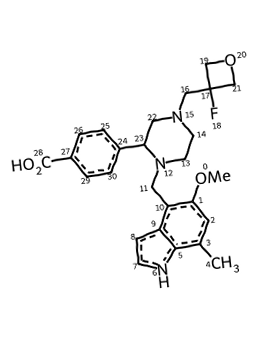 COc1cc(C)c2[nH]ccc2c1CN1CCN(CC2(F)COC2)CC1c1ccc(C(=O)O)cc1